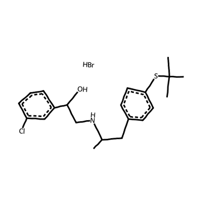 Br.CC(Cc1ccc(SC(C)(C)C)cc1)NCC(O)c1cccc(Cl)c1